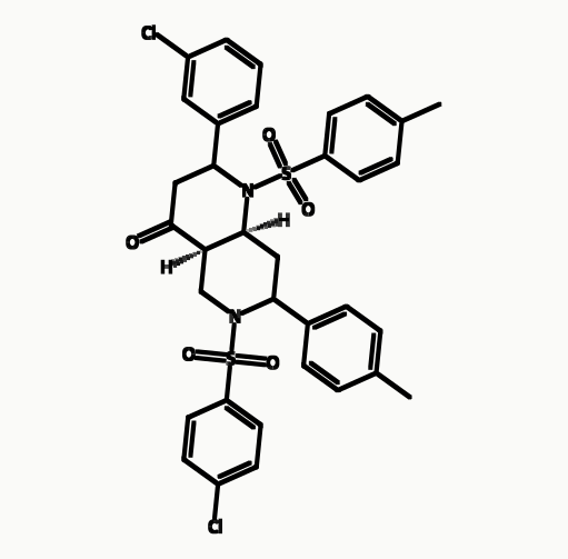 Cc1ccc(C2C[C@H]3[C@@H](CN2S(=O)(=O)c2ccc(Cl)cc2)C(=O)CC(c2cccc(Cl)c2)N3S(=O)(=O)c2ccc(C)cc2)cc1